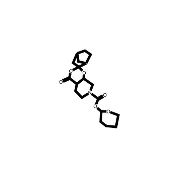 O=C1OC2(CC3CCC2C3)OC2CN(C(=O)OC3CCCCO3)CCC12